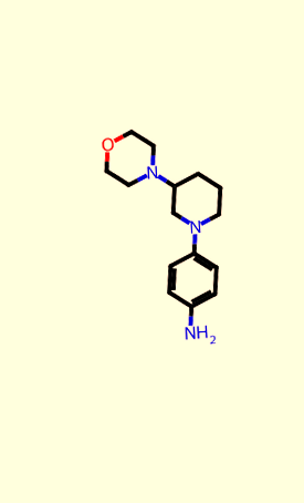 Nc1ccc(N2CCCC(N3CCOCC3)C2)cc1